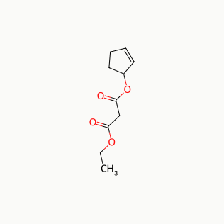 CCOC(=O)CC(=O)OC1C=CCC1